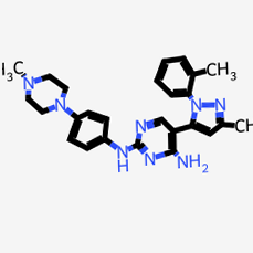 Cc1cc(-c2cnc(Nc3ccc(N4CCN(C)CC4)cc3)nc2N)n(-c2ccccc2C)n1